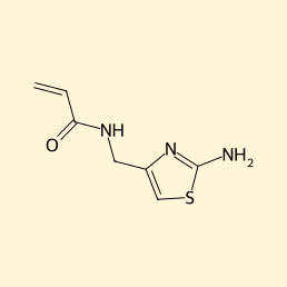 C=CC(=O)NCc1csc(N)n1